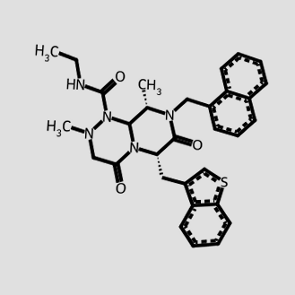 CCNC(=O)N1C2[C@H](C)N(Cc3cccc4ccccc34)C(=O)[C@H](Cc3csc4ccccc34)N2C(=O)CN1C